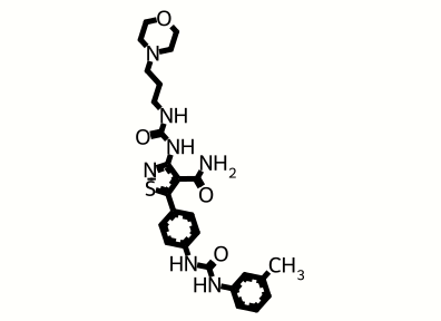 Cc1cccc(NC(=O)Nc2ccc(-c3snc(NC(=O)NCCCN4CCOCC4)c3C(N)=O)cc2)c1